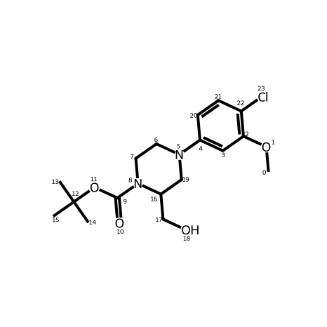 COc1cc(N2CCN(C(=O)OC(C)(C)C)C(CO)C2)ccc1Cl